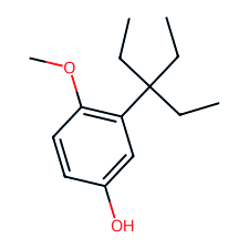 CCC(CC)(CC)c1cc(O)ccc1OC